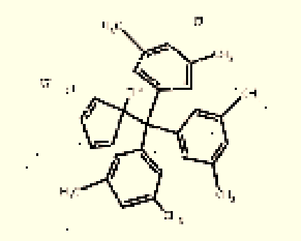 Cc1cc(C)cc(C(c2cc(C)cc(C)c2)(c2cc(C)cc(C)c2)[C]2([Ti+3])C=CC=C2)c1.[Cl-].[Cl-].[Cl-]